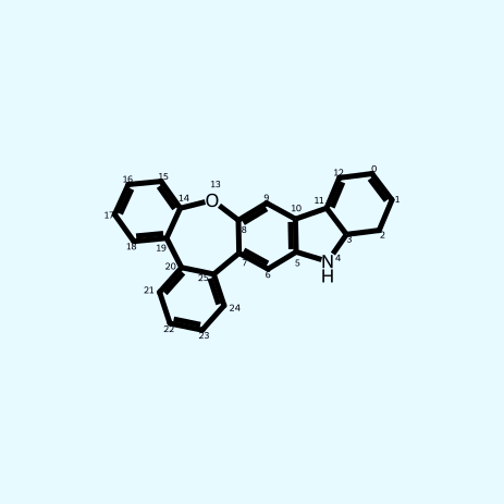 C1=CCC2Nc3cc4c(cc3C2=C1)Oc1ccccc1-c1ccccc1-4